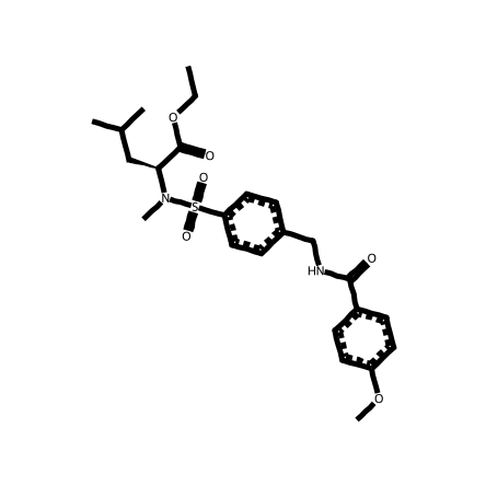 CCOC(=O)[C@H](CC(C)C)N(C)S(=O)(=O)c1ccc(CNC(=O)c2ccc(OC)cc2)cc1